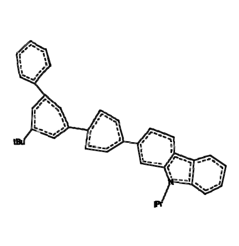 CC(C)n1c2ccccc2c2ccc(-c3ccc(-c4cc(-c5ccccc5)cc(C(C)(C)C)c4)cc3)cc21